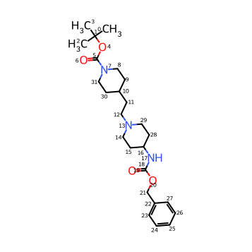 CC(C)(C)OC(=O)N1CCC(CCN2CCC(NC(=O)OCc3ccccc3)CC2)CC1